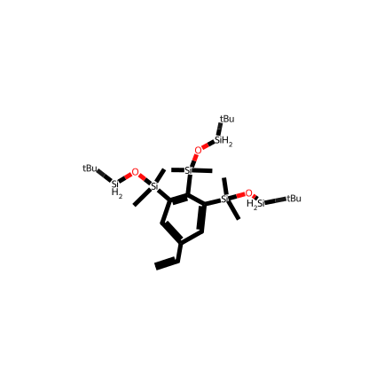 C=Cc1cc([Si](C)(C)O[SiH2]C(C)(C)C)c([Si](C)(C)O[SiH2]C(C)(C)C)c([Si](C)(C)O[SiH2]C(C)(C)C)c1